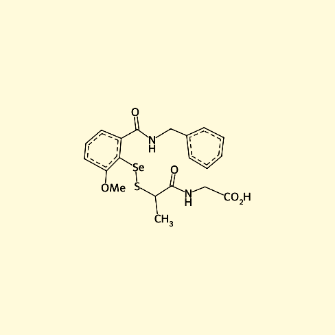 COc1cccc(C(=O)NCc2ccccc2)c1[Se]SC(C)C(=O)NCC(=O)O